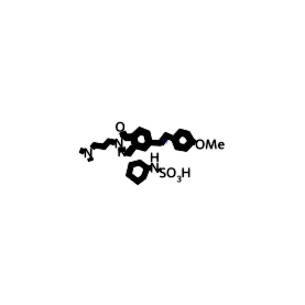 COc1ccc(/C=C/c2ccc3c(=O)n(CCCN(C)C)ncc3c2)cc1.O=S(=O)(O)NC1CCCCC1